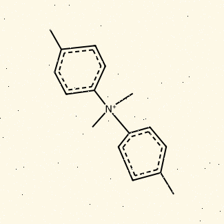 Cc1ccc([N+](C)(C)c2ccc(C)cc2)cc1